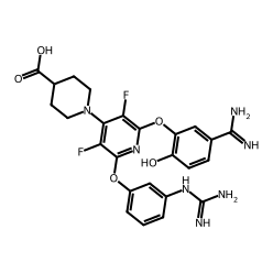 N=C(N)Nc1cccc(Oc2nc(Oc3cc(C(=N)N)ccc3O)c(F)c(N3CCC(C(=O)O)CC3)c2F)c1